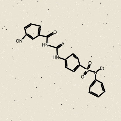 CCN(c1ccccc1)S(=O)(=O)c1ccc(NC(=S)NC(=O)c2cccc(N=O)c2)cc1